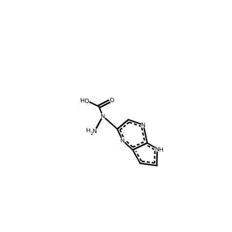 NN(C(=O)O)c1cnc2[nH]ccc2n1